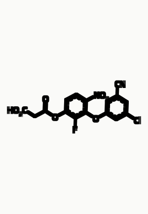 N#Cc1cc(Cl)cc(Oc2c([N+](=O)[O-])ccc(OC(=O)CC(=O)O)c2F)c1